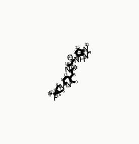 Cc1nc(N2CC3C(C2)C3(F)F)ccc1Cc1ncc(C(=O)N[C@@H]2CCc3c2ncn3C)o1